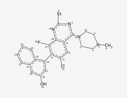 CCc1nc(N2CCN(C)CC2)c2cc(Cl)c(-c3cc(O)cc4ccccc34)c(F)c2n1